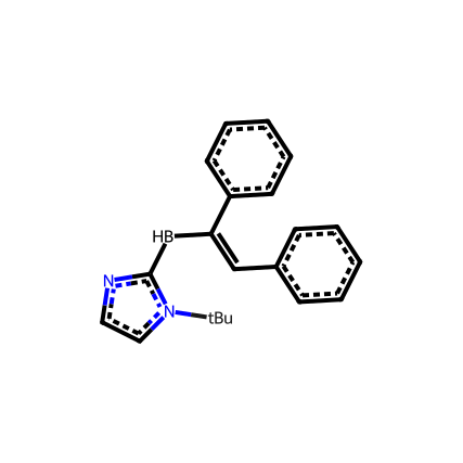 CC(C)(C)n1ccnc1BC(=Cc1ccccc1)c1ccccc1